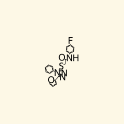 O=C(CSc1nnc(-c2ccco2)n1-c1ccccc1)Nc1ccc(F)cc1